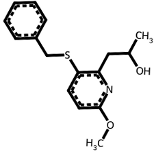 COc1ccc(SCc2ccccc2)c(CC(C)O)n1